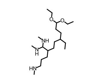 CCOC(CCC(CC)CCC(CCCNC)C(NC)NC)OCC